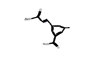 COC(=O)/C=C/c1cc(C)cc(C(=O)OC)c1